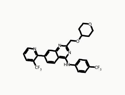 FC(F)(F)c1ccc(Nc2nc(COC3CCOCC3)nc3cc(-c4ncccc4C(F)(F)F)ccc23)cc1